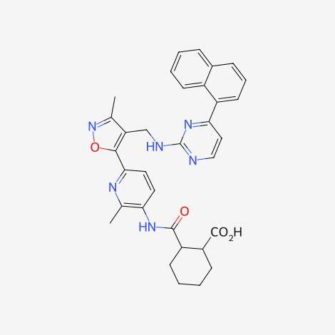 Cc1nc(-c2onc(C)c2CNc2nccc(-c3cccc4ccccc34)n2)ccc1NC(=O)C1CCCCC1C(=O)O